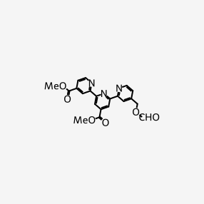 COC(=O)c1ccnc(-c2cc(C(=O)OC)cc(-c3cc(COC=O)ccn3)n2)c1